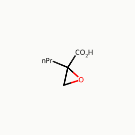 CCCC1(C(=O)O)CO1